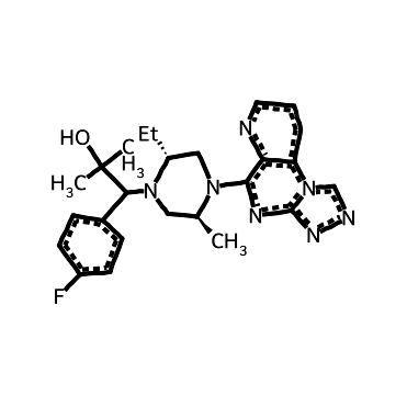 CC[C@@H]1CN(c2nc3nncn3c3cccnc23)[C@@H](C)CN1C(c1ccc(F)cc1)C(C)(C)O